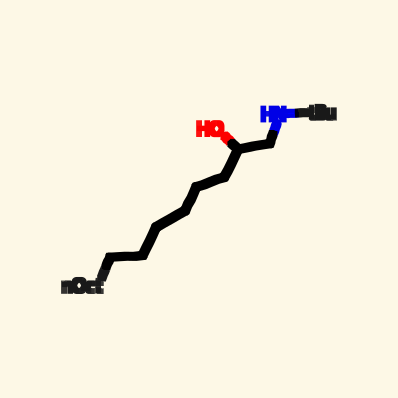 CCCCCCCCCCCCCCC(O)CNC(C)(C)C